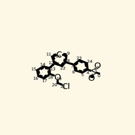 CS(=O)(=O)c1ccc(-c2cccc(-c3ccccc3OCCl)c2)cc1